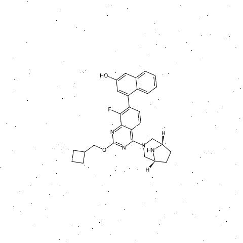 Oc1cc(-c2ccc3c(N4C[C@H]5CC[C@@H](C4)N5)nc(OCC4CCC4)nc3c2F)c2ccccc2c1